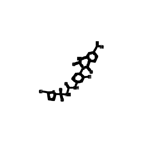 CCNc1ccc2c(=O)n(-c3ccc(NC(=O)NS(=O)(=O)c4ccc(Cl)s4)cc3Cl)c(=O)[nH]c2c1